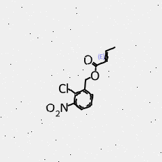 C/C=C/C(=O)OCc1cccc([N+](=O)[O-])c1Cl